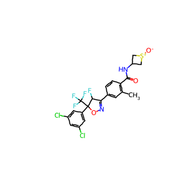 Cc1cc(C2=NOC(c3cc(Cl)cc(Cl)c3)(C(F)(F)F)C2F)ccc1C(=O)NC1C[S+]([O-])C1